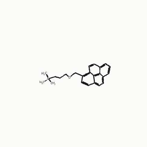 C[Si](C)(C)CCCOCc1ccc2ccc3cccc4ccc1c2c34